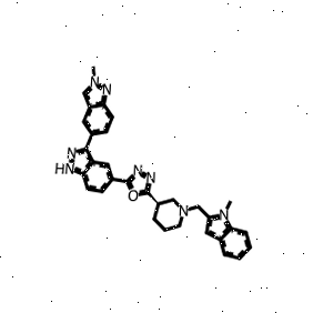 Cn1cc2cc(-c3n[nH]c4ccc(-c5nnc([C@@H]6CCCN(Cc7cc8ccccc8n7C)C6)o5)cc34)ccc2n1